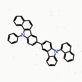 c1ccc(-n2c3ccc(-c4ccc5c(c4)c4ccccc4n5-c4cccc5ccccc45)cc3c3ccc4ccccc4c32)cc1